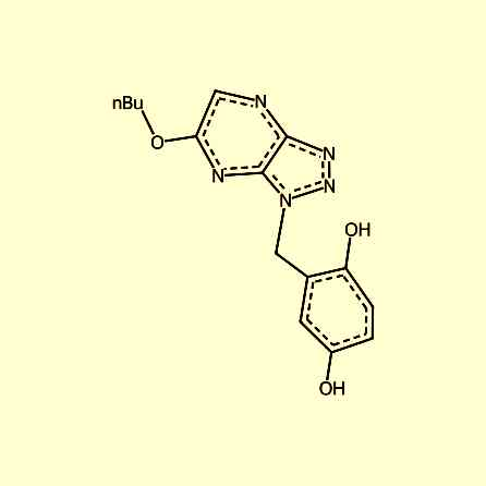 CCCCOc1cnc2nnn(Cc3cc(O)ccc3O)c2n1